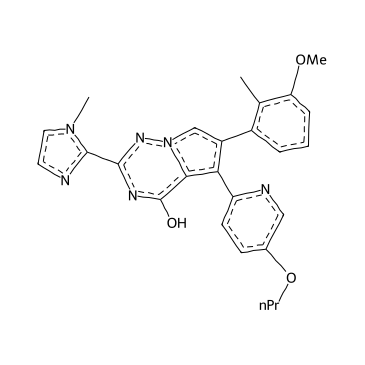 CCCOc1ccc(-c2c(-c3cccc(OC)c3C)cn3nc(-c4nccn4C)nc(O)c23)nc1